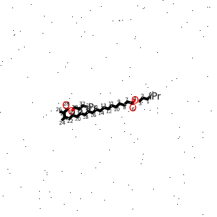 CC(C)CCCOC(=O)CCCCCCCCCCCCCCCCC(C)C(C)C(=O)OCCCC(C)C